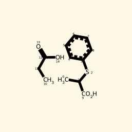 CC(Sc1ccccc1)C(=O)O.CCC(=O)O